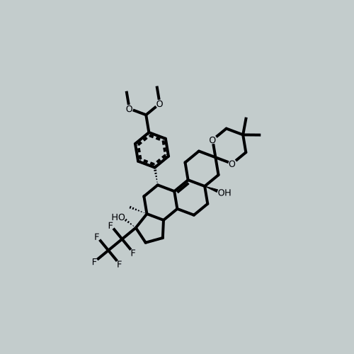 COC(OC)c1ccc([C@H]2C[C@@]3(C)C(CC[C@@]3(O)C(F)(F)C(F)(F)F)C3CC[C@@]4(O)CC5(CCC4=C32)OCC(C)(C)CO5)cc1